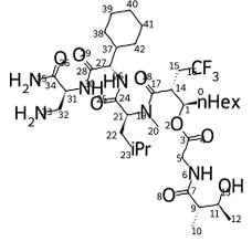 CCCCCC[C@@H](OC(=O)CNC(=O)[C@@H](C)[C@H](C)O)[C@@H](CC(F)(F)F)C(=O)N(C)[C@@H](CC(C)C)C(=O)N[C@H](C(=O)N[C@@H](CN)C(N)=O)C1CCCCC1